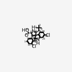 CC(C)(C)C[C@@H]1N[C@@H](C(=O)O)[C@H](c2cccc(Cl)c2F)C12C(=O)Nc1cc(Cl)ccc12